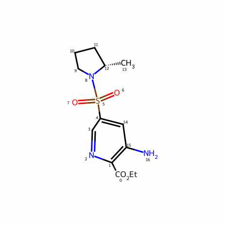 CCOC(=O)c1ncc(S(=O)(=O)N2CCC[C@@H]2C)cc1N